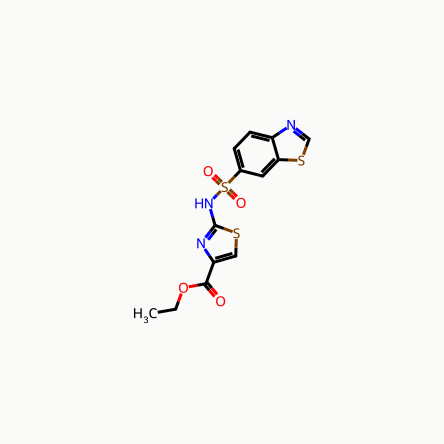 CCOC(=O)c1csc(NS(=O)(=O)c2ccc3ncsc3c2)n1